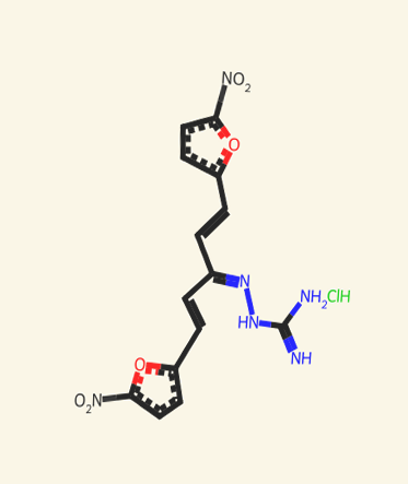 Cl.N=C(N)NN=C(C=Cc1ccc([N+](=O)[O-])o1)C=Cc1ccc([N+](=O)[O-])o1